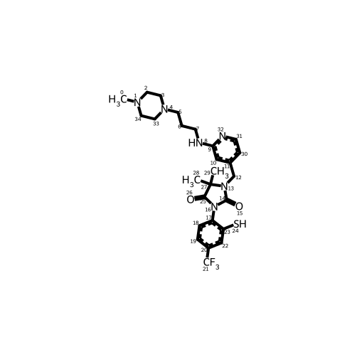 CN1CCN(CCCNc2cc(CN3C(=O)N(c4ccc(C(F)(F)F)cc4S)C(=O)C3(C)C)ccn2)CC1